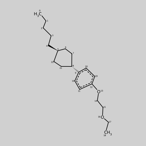 CCCCC[C@H]1CC[C@H](c2ccc(OCCOCC)cc2)CC1